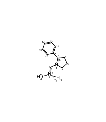 C[N+](C)=CN1CCC[C@@H]1c1ccccc1